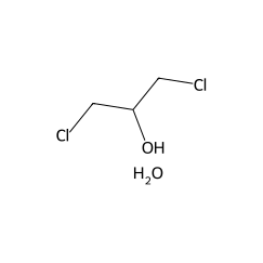 O.OC(CCl)CCl